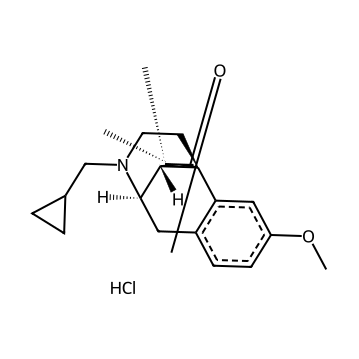 COc1ccc2c(c1)[C@]13CCN(CC4CC4)[C@H](C2)[C@@H]1[C@@H](C)[C@H](C)C(=O)C3.Cl